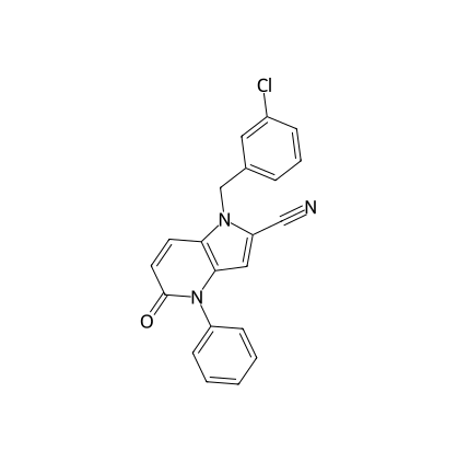 N#Cc1cc2c(ccc(=O)n2-c2ccccc2)n1Cc1cccc(Cl)c1